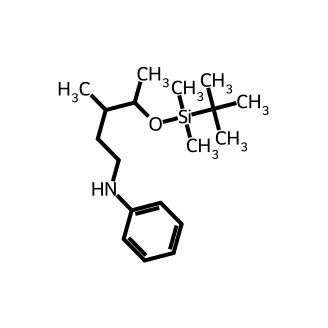 CC(CCNc1ccccc1)C(C)O[Si](C)(C)C(C)(C)C